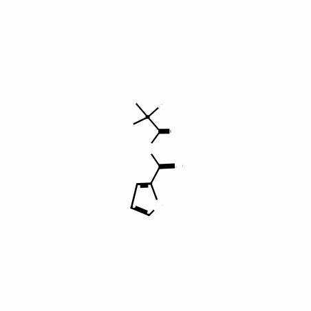 O=C(OC(=O)C(F)(F)F)c1ccco1